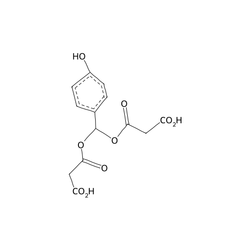 O=C(O)CC(=O)OC(OC(=O)CC(=O)O)c1ccc(O)cc1